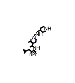 C=C(NC(=C)C(CCC)CC1CC1)C(/C=C\N(C)CNCC1CCNCC1)=C(C)C